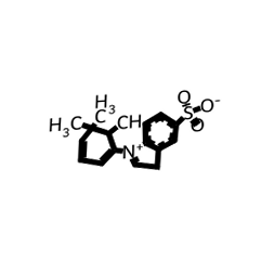 CC1C([N+]2=CCc3cc(S(=O)(=O)[O-])ccc32)=CC=CC1(C)C